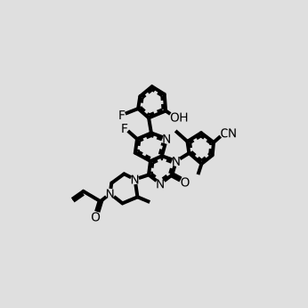 C=CC(=O)N1CCN(c2nc(=O)n(-c3c(C)cc(C#N)cc3C)c3nc(-c4c(O)cccc4F)c(F)cc23)C(C)C1